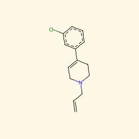 C=CCN1CC=C(c2cccc(Cl)c2)CC1